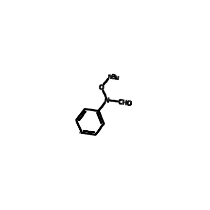 CCCCON(C=O)c1cc[c]cc1